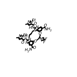 CCn1nc(C)cc1C(=O)Nc1nc2cc(C(N)=O)cc3c2n1C/C=C/Cn1c(NC(=O)c2cc(C)nn2CC)nc2cc(C(N)=O)cc(c21)OCC(N1CC(F)(F)C1)CO3